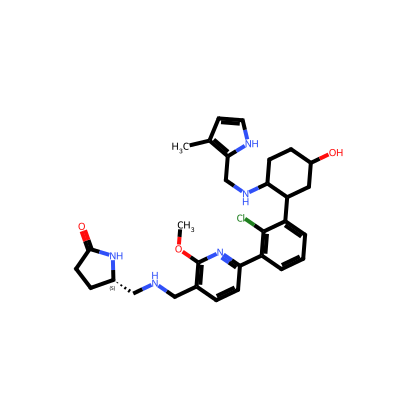 COc1nc(-c2cccc(C3CC(O)CCC3NCc3[nH]ccc3C)c2Cl)ccc1CNC[C@@H]1CCC(=O)N1